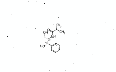 CC(C)C(=O)N[C@@H](CO)[C@@H](O)c1ccccc1